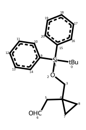 CC(C)(C)[Si](OCC1(CC=O)CC1)(c1ccccc1)c1ccccc1